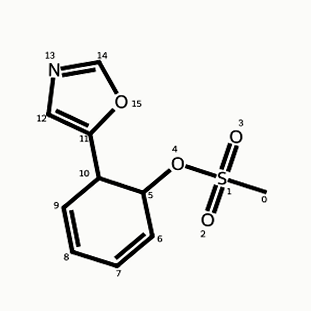 CS(=O)(=O)OC1C=CC=CC1c1cnco1